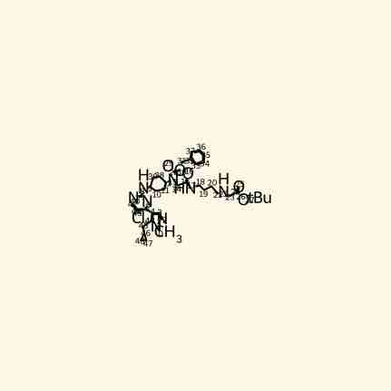 Cn1ncc(-c2nc(N[C@H]3CC[C@H](N(CC(=O)NCCCCNCC(=O)OC(C)(C)C)C(=O)OCc4ccccc4)CC3)ncc2Cl)c1CC1CC1